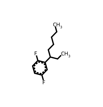 CCCCCC(CC)c1cc(F)ccc1F